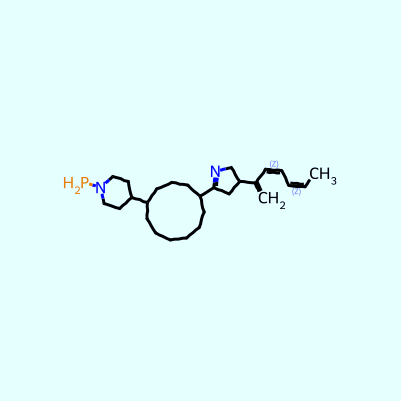 C=C(/C=C\C=C/C)C1CN=C(C2CCCCCCC(C3CCN(P)CC3)CCC2)C1